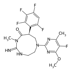 COc1nc(N2CCNC(=N)N(C)C(=O)[C@@H](c3c(F)cc(F)c(F)c3F)C2)nc(C)c1F